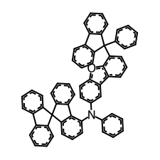 c1ccc(N(c2ccc3oc4c(C5(c6ccccc6)c6ccccc6-c6ccccc65)cccc4c3c2)c2cccc3c2-c2ccccc2C32c3ccccc3-c3ccccc32)cc1